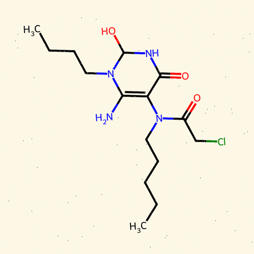 CCCCCN(C(=O)CCl)C1=C(N)N(CCCC)C(O)NC1=O